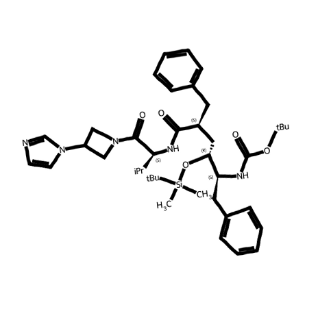 CC(C)[C@H](NC(=O)[C@@H](Cc1ccccc1)C[C@@H](O[Si](C)(C)C(C)(C)C)[C@H](Cc1ccccc1)NC(=O)OC(C)(C)C)C(=O)N1CC(n2ccnc2)C1